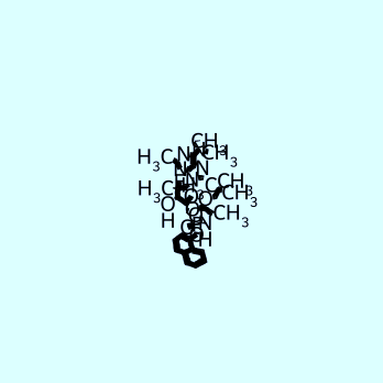 Cc1nc(N(C)C)c2ncn([C@@H]3O[C@H](CO[P@](=O)(N[C@@H](C)C(=O)OCC(C)(C)C)Oc4cccc5ccccc45)[C@@H](O)[C@@]3(C)F)c2n1